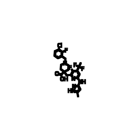 Cc1cc(Nc2cc(C(C)(F)F)c(F)c(CC3(C(=O)O)CCN(Cc4cccc(Cl)c4F)CC3)n2)n[nH]1